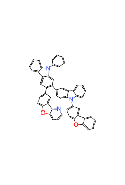 c1ccc(-n2c3ccccc3c3cc(-c4ccc5oc6cccnc6c5c4)c(-c4ccc5c(c4)c4ccccc4n5-c4ccc5oc6ccccc6c5c4)cc32)cc1